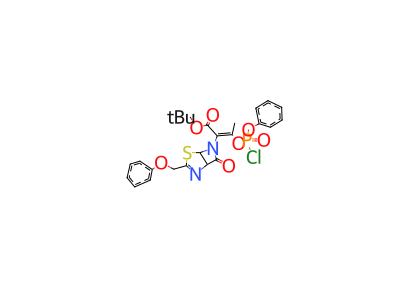 CC(OP(=O)(Cl)Oc1ccccc1)=C(C(=O)OC(C)(C)C)N1C(=O)C2N=C(COc3ccccc3)SC21